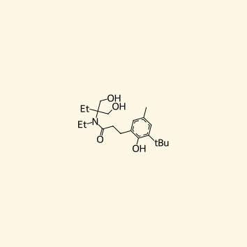 CCN(C(=O)CCc1cc(C)cc(C(C)(C)C)c1O)C(CC)(CO)CO